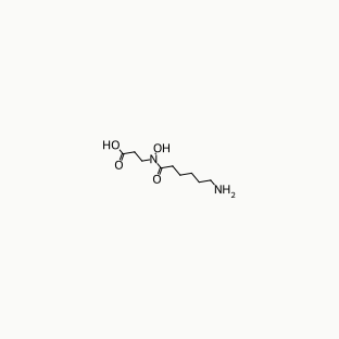 NCCCCCC(=O)N(O)CCC(=O)O